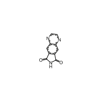 O=C1NC(=O)c2cc3nccnc3cc21